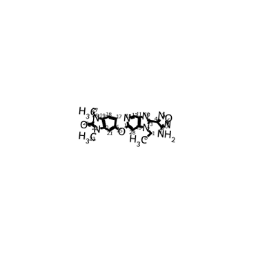 CCn1c(-c2nonc2N)nc2cnc(Oc3ccc4c(c3)n(C)c(=O)n4C)cc21